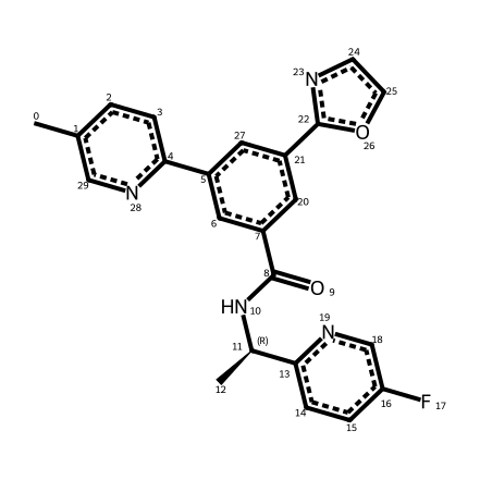 Cc1ccc(-c2cc(C(=O)N[C@H](C)c3ccc(F)cn3)cc(-c3ncco3)c2)nc1